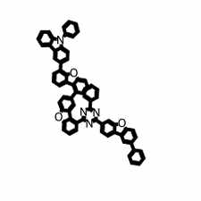 c1ccc(-c2ccc3oc4cc(-c5nc(-c6ccccc6)nc(-c6cccc7oc8ccc(-c9cccc%10oc%11c(-c%12ccc%13c(c%12)c%12ccccc%12n%13-c%12ccccc%12)cccc%11c9%10)cc8c67)n5)ccc4c3c2)cc1